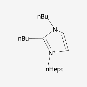 CCCCCCC[n+]1ccn(CCCC)c1CCCC